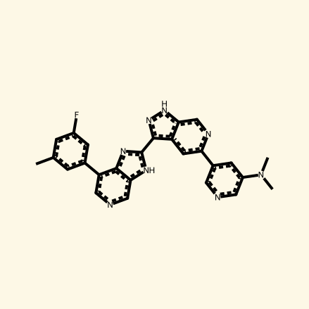 Cc1cc(F)cc(-c2cncc3[nH]c(-c4n[nH]c5cnc(-c6cncc(N(C)C)c6)cc45)nc23)c1